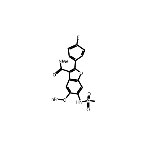 CCCOc1cc2c(C(=O)NC)c(-c3ccc(F)cc3)oc2cc1NS(C)(=O)=O